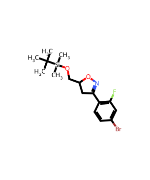 CC(C)(C)[Si](C)(C)OCC1CC(c2ccc(Br)cc2F)=NO1